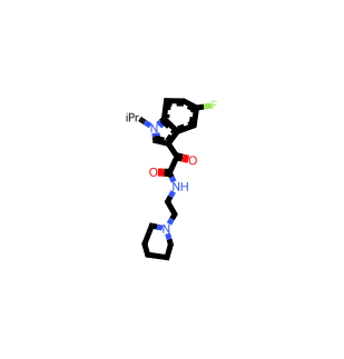 CC(C)n1cc(C(=O)C(=O)NCCN2CCCCC2)c2cc(F)ccc21